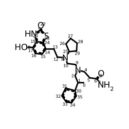 CC(CN(CCC(N)=O)CCN(CCc1ccc(O)c2[nH]c(=O)sc12)C1CCCC1)c1ccccc1